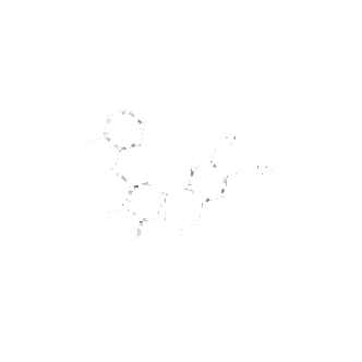 COc1cc2c(cc1OC)-c1cc(=Nc3c(C)cccc3C)n(C)c(=O)n1[C@@H](C)C2